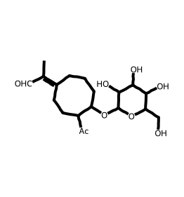 CC(=O)C1CC/C(=C(/C)C=O)CCCC1OC1OC(CO)C(O)C(O)C1O